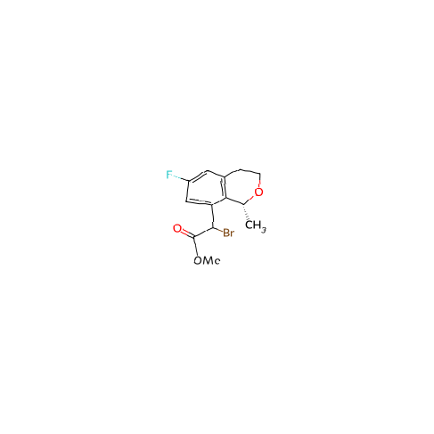 COC(=O)C(Br)c1cc(F)cc2c1[C@@H](C)OCC2